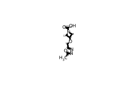 Cc1nnc(COC2CN(C(=O)O)C2)o1